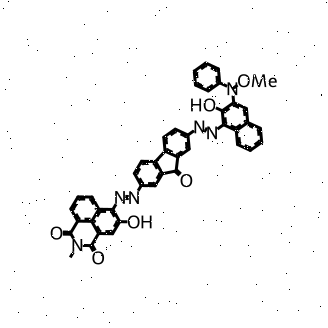 CON(c1ccccc1)c1cc2ccccc2c(N=Nc2ccc3c(c2)C(=O)c2cc(N=Nc4c(O)cc5c6c(cccc46)C(=O)N(C)C5=O)ccc2-3)c1O